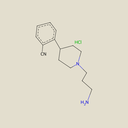 Cl.N#Cc1ccccc1C1CCN(CCCN)CC1